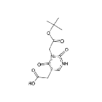 CC(C)(C)OC(=O)Cn1c(=O)[nH]cc(CC(=O)O)c1=O